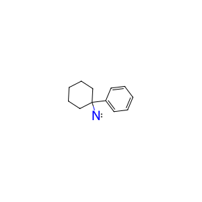 [N]C1(c2ccccc2)CCCCC1